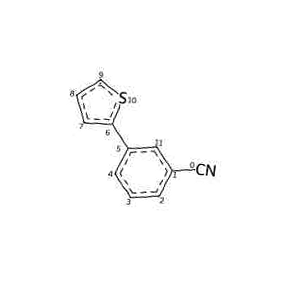 N#Cc1cccc(-c2cc[c]s2)c1